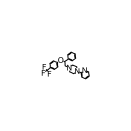 FC(F)(F)c1ccc(OC(CN2CCN(c3ccccn3)CC2)c2ccccc2)cc1